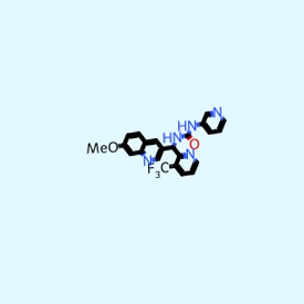 COc1ccc2cc(C(NC(=O)Nc3cccnc3)c3ncccc3C(F)(F)F)cnc2c1